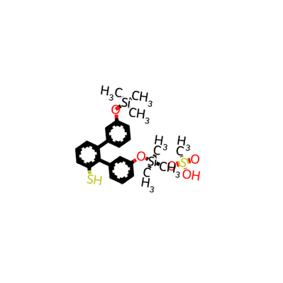 CS(=O)(=O)O.C[Si](C)(C)Oc1cccc(-c2cccc(S)c2-c2cccc(O[Si](C)(C)C)c2)c1